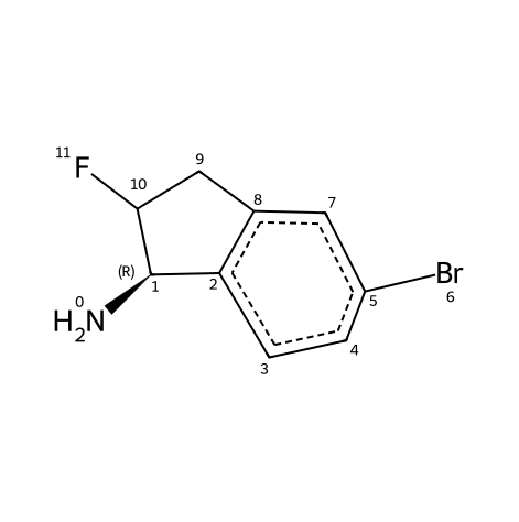 N[C@@H]1c2ccc(Br)cc2CC1F